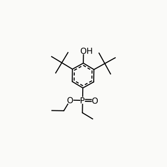 CCOP(=O)(CC)c1cc(C(C)(C)C)c(O)c(C(C)(C)C)c1